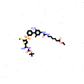 CCOC(=O)CCCCCNC(=O)Nc1cc(C)c(-c2cccc(S(=O)(=O)c3cc(C(=N)NC(=O)OC(C)(C)C)sc3SC)c2)c(N)c1